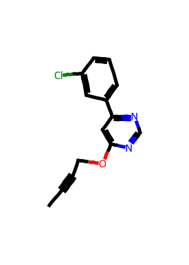 CC#CCOc1cc(-c2cccc(Cl)c2)ncn1